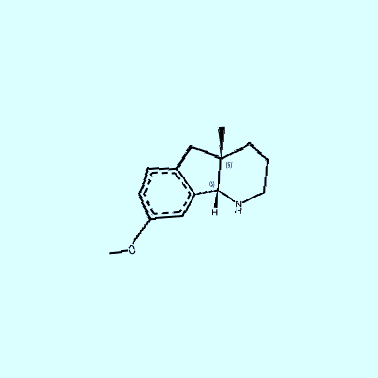 COc1ccc2c(c1)[C@H]1NCCC[C@@]1(C)C2